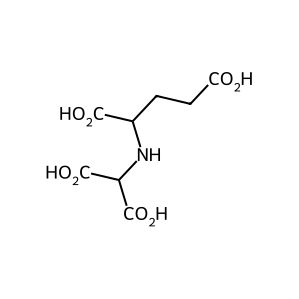 O=C(O)CCC(NC(C(=O)O)C(=O)O)C(=O)O